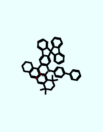 CC(C)c1ccc2c(c1-c1cc3c(cc1N(c1ccc(-c4ccccc4)cc1)c1cccc4c1C(C)(C)CCC4(C)C)C1(c4ccccc4-c4ccccc41)c1ccccc1-3)CCCC2